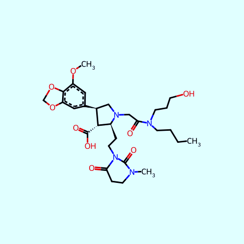 CCCCN(CCCO)C(=O)CN1C[C@H](c2cc(OC)c3c(c2)OCO3)[C@@H](C(=O)O)[C@@H]1CCN1C(=O)CCN(C)C1=O